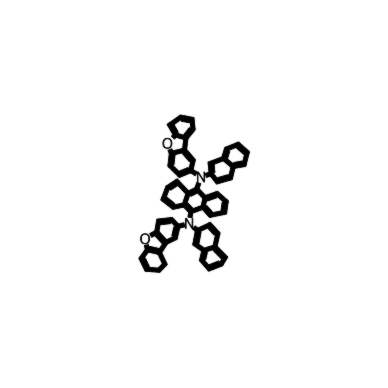 C1=Cc2oc3ccc(N(c4ccc5ccccc5c4)c4c5ccccc5c(N(c5ccc6ccccc6c5)c5ccc6oc7ccccc7c6c5)c5ccccc45)cc3c2CC1